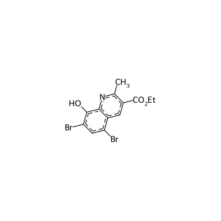 CCOC(=O)c1cc2c(Br)cc(Br)c(O)c2nc1C